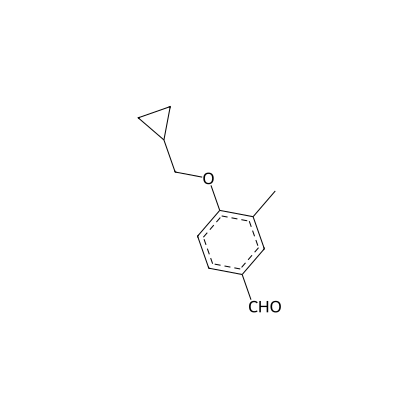 Cc1cc(C=O)ccc1OCC1CC1